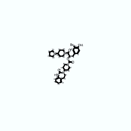 O=C(O[C@H](Cc1ccc(O)c(Br)c1)C(=O)N1CCC(N2CCCC2)CC1)N1CCC(N2CCc3ccccc3NC2=O)CC1